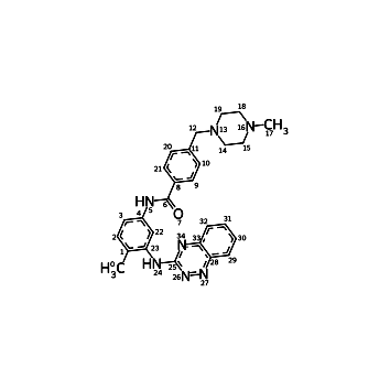 Cc1ccc(NC(=O)c2ccc(CN3CCN(C)CC3)cc2)cc1Nc1nnc2ccccc2n1